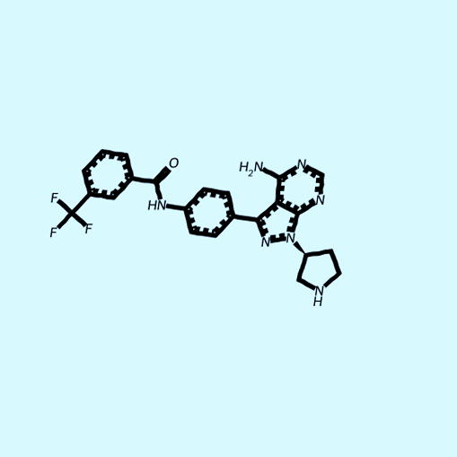 Nc1ncnc2c1c(-c1ccc(NC(=O)c3cccc(C(F)(F)F)c3)cc1)nn2[C@H]1CCNC1